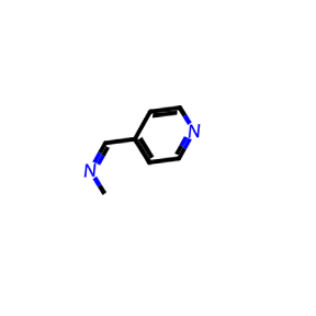 C/N=C\c1ccncc1